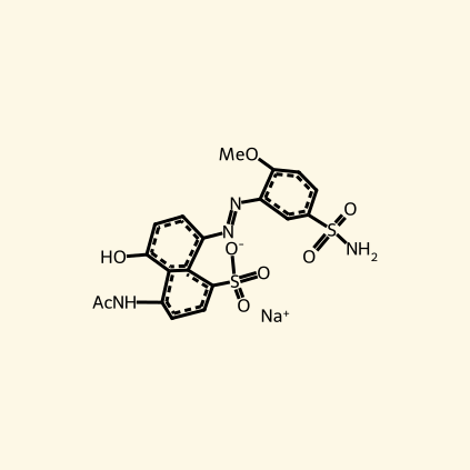 COc1ccc(S(N)(=O)=O)cc1N=Nc1ccc(O)c2c(NC(C)=O)ccc(S(=O)(=O)[O-])c12.[Na+]